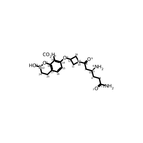 NC(=O)CC[C@H](N)CC(=O)N1CC(Oc2ccc3c(c2C(=O)O)OB(O)CC3)C1